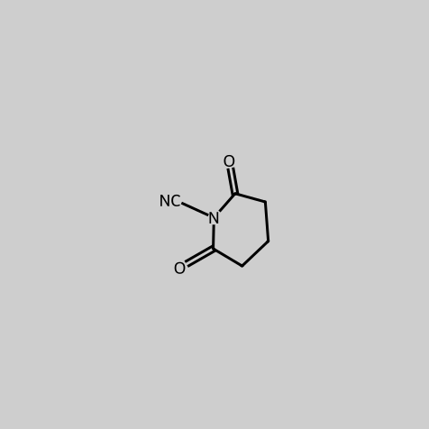 N#CN1C(=O)CCCC1=O